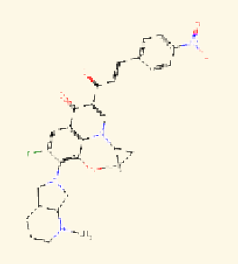 COc1c(N2CC3CCCN(C)C3C2)c(F)cc2c(=O)c(C(=O)C=Cc3ccc([N+](=O)[O-])cc3)cn(C3CC3)c12